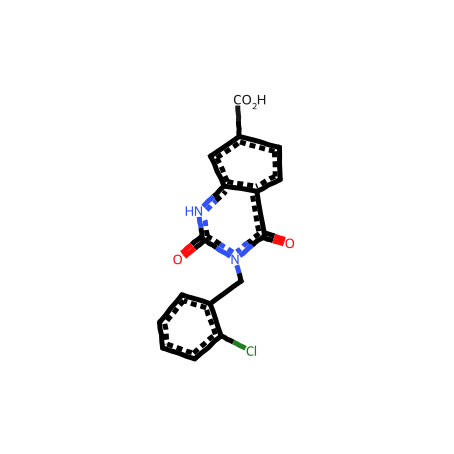 O=C(O)c1ccc2c(=O)n(Cc3ccccc3Cl)c(=O)[nH]c2c1